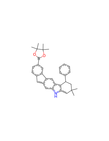 CC1(C)C=c2[nH]c3cc4c(cc3c2C(c2ccccc2)C1)-c1cc(B2OC(C)(C)C(C)(C)O2)ccc1C=4